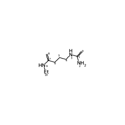 C=C(N)NCCCC(=C)NCC